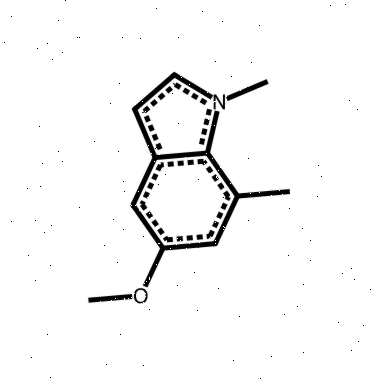 COc1cc(C)c2c(ccn2C)c1